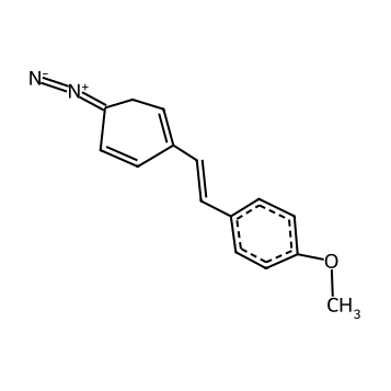 COc1ccc(C=CC2=CCC(=[N+]=[N-])C=C2)cc1